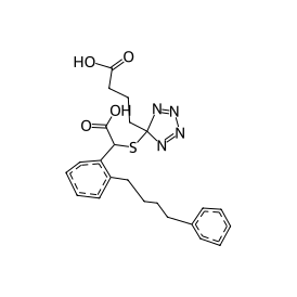 O=C(O)CCCC1(SC(C(=O)O)c2ccccc2CCCCc2ccccc2)N=NN=N1